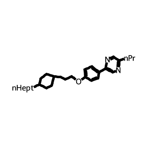 CCCCCCCC1CCC(CCCOc2ccc(-c3cnc(CCC)cn3)cc2)CC1